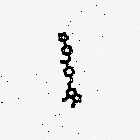 O=C1OCc2cc(CCN3CCN(C(=O)Cc4ccc(-n5cnnn5)cc4)CC3)cc(Cl)c21